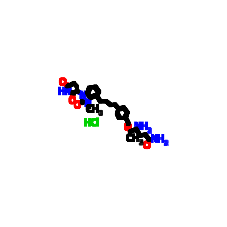 C[C@@H](OCc1ccc(CCCCc2cccc3c2n(C)c(=O)n3C2CCC(=O)NC2=O)cc1)[C@@H](N)CCC(N)=O.Cl